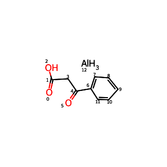 O=C(O)CC(=O)c1ccccc1.[AlH3]